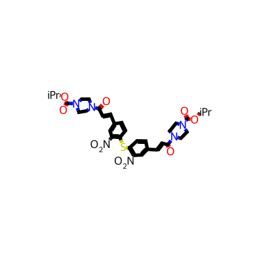 CC(C)OC(=O)N1CCN(C(=O)/C=C/c2ccc(Sc3ccc(/C=C/C(=O)N4CCN(C(=O)OC(C)C)CC4)cc3[N+](=O)[O-])c([N+](=O)[O-])c2)CC1